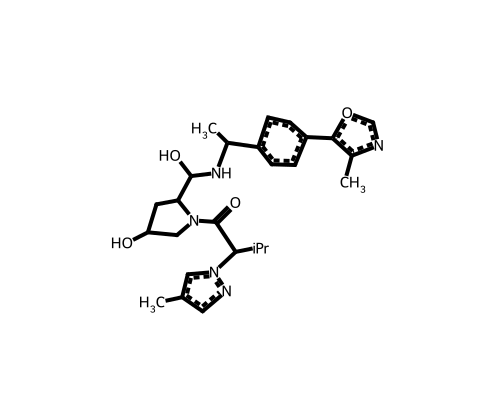 Cc1cnn(C(C(=O)N2CC(O)CC2C(O)NC(C)c2ccc(-c3ocnc3C)cc2)C(C)C)c1